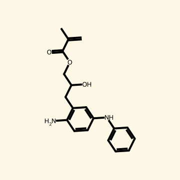 C=C(C)C(=O)OCC(O)Cc1cc(Nc2ccccc2)ccc1N